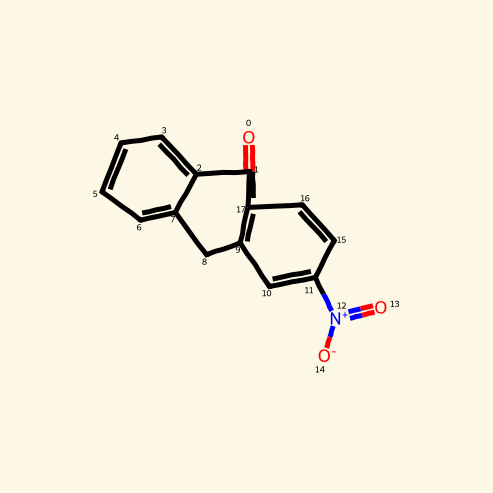 O=C1c2ccccc2Cc2cc([N+](=O)[O-])ccc21